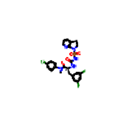 CN(C(=O)[C@H](Cc1cc(F)cc(F)c1)NC(=O)NS(=O)(=O)N1CCc2cccnc21)c1ccc(Cl)cc1